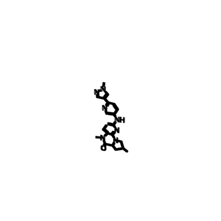 C=C(/N=C1\C(=C/C)N(C)C(=O)C2CC(C)CN12)Nc1ccc(-c2cnn(C)c2)nc1